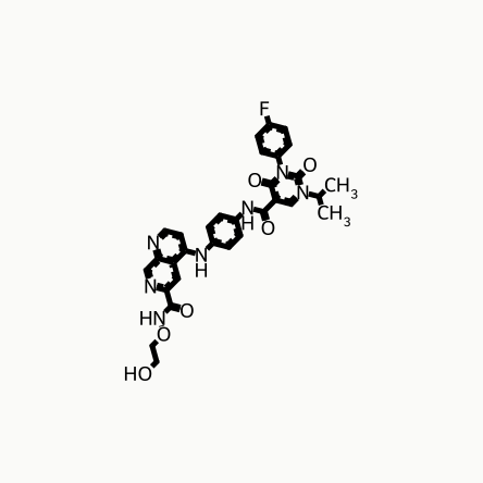 CC(C)n1cc(C(=O)Nc2ccc(Nc3ccnc4cnc(C(=O)NOCCO)cc34)cc2)c(=O)n(-c2ccc(F)cc2)c1=O